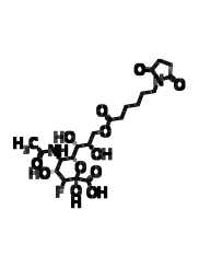 CC(=O)N[C@H]1[C@H]([C@H](O)[C@H](O)COC(=O)CCCCCN2C(=O)CCC2=O)OC(O)(C(=O)O)C(F)[C@@H]1O